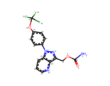 NC(=O)OCc1nn(-c2ccc(OC(F)(F)F)cc2)c2cccnc12